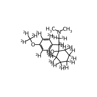 [2H]c1c([2H])c(C([2H])(C([2H])([2H])N(C)C)C2(O)C([2H])([2H])C([2H])([2H])C([2H])([2H])C([2H])([2H])C2([2H])[2H])c([2H])c([2H])c1OC([2H])([2H])[2H]